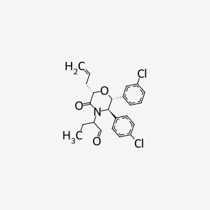 C=CC[C@@H]1O[C@H](c2cccc(Cl)c2)[C@@H](c2ccc(Cl)cc2)N(C(C=O)CC)C1=O